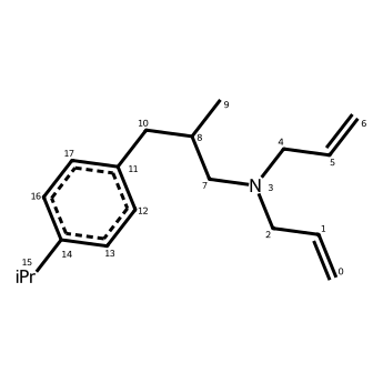 C=CCN(CC=C)CC(C)Cc1ccc(C(C)C)cc1